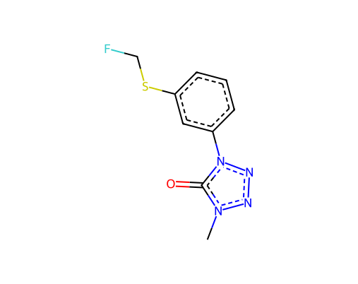 Cn1nnn(-c2cccc(SCF)c2)c1=O